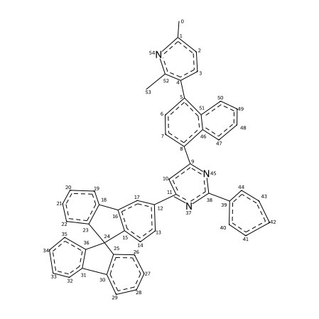 Cc1ccc(-c2ccc(-c3cc(-c4ccc5c(c4)-c4ccccc4C54c5ccccc5-c5ccccc54)nc(-c4ccccc4)n3)c3ccccc23)c(C)n1